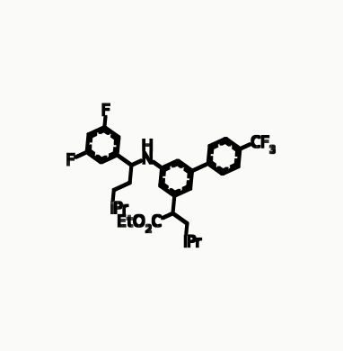 CCOC(=O)C(CC(C)C)c1cc(NC(CCC(C)C)c2cc(F)cc(F)c2)cc(-c2ccc(C(F)(F)F)cc2)c1